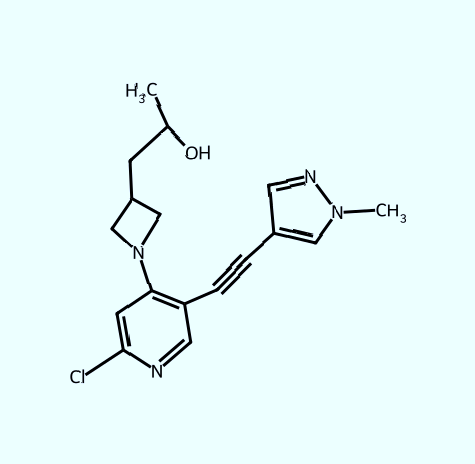 CC(O)CC1CN(c2cc(Cl)ncc2C#Cc2cnn(C)c2)C1